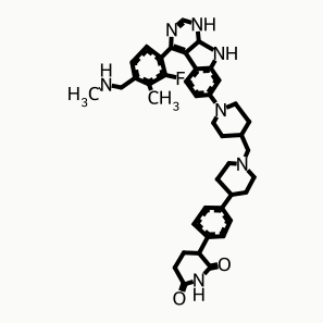 CNCc1ccc(C2=C3c4ccc(N5CCC(CN6CCC(c7ccc(C8CCC(=O)NC8=O)cc7)CC6)CC5)cc4NC3NC=N2)c(F)c1C